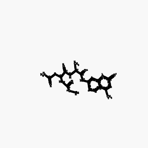 Cc1cc(=O)oc2cc(NC(=O)C(C)NC(=O)C(CC(N)=O)NC(=O)OC(C)(C)C)ccc12